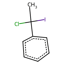 CC(Cl)(I)c1ccccc1